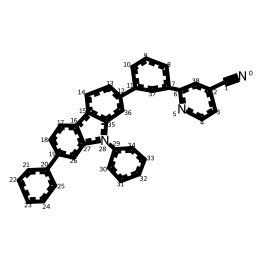 N#Cc1ccnc(-c2cccc(-c3ccc4c5ccc(-c6ccccc6)cc5n(-c5ccccc5)c4c3)c2)c1